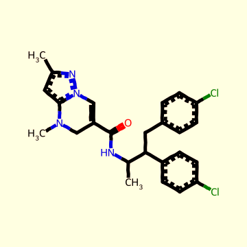 Cc1cc2n(n1)C=C(C(=O)NC(C)C(Cc1ccc(Cl)cc1)c1ccc(Cl)cc1)CN2C